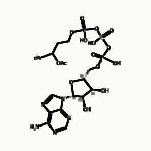 CCCC(CCOP(=O)(O)OP(=O)(O)OP(=O)(O)OC[C@H]1O[C@@H](n2cnc3c(N)ncnc32)[C@H](O)[C@@H]1O)OC(C)=O